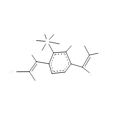 CCC/C(F)=C(\F)c1ccc(/C(F)=C(\F)CCC)c(S(F)(F)(F)(F)F)c1C